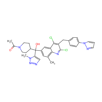 CC(=O)N1CCC(C(O)(c2cc(C)c3nc(Cl)c(Cc4ccc(-n5cccn5)cc4)c(Cl)c3c2)c2cnnn2C)CC1